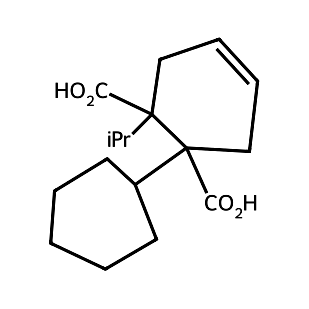 CC(C)C1(C(=O)O)CC=CCC1(C(=O)O)C1CCCCC1